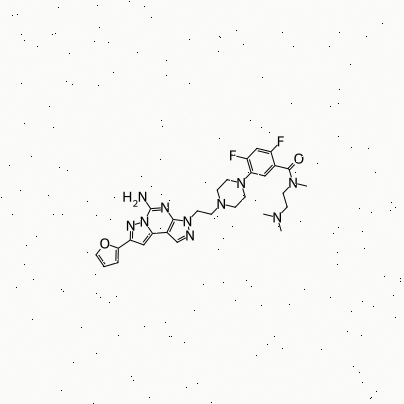 CN(C)CCN(C)C(=O)c1cc(N2CCN(CCn3ncc4c3nc(N)n3nc(-c5ccco5)cc43)CC2)c(F)cc1F